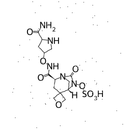 NC(=O)C1CC(ONC(=O)[C@@H]2CC3(COC3)[C@@H]3CN2C(=O)N3OS(=O)(=O)O)CN1